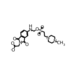 CN1CCN(CCS(=O)(=O)OCNc2ccc3c(c2)C(=O)N(CC([O])=O)C3=O)CC1